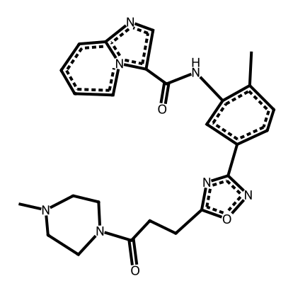 Cc1ccc(-c2noc(CCC(=O)N3CCN(C)CC3)n2)cc1NC(=O)c1cnc2ccccn12